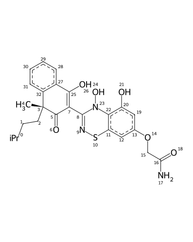 CC(C)CC[C@@]1(C)C(=O)C(C2=NSc3cc(OCC(N)=O)cc(O)c3N2O)=C(O)c2ccccc21